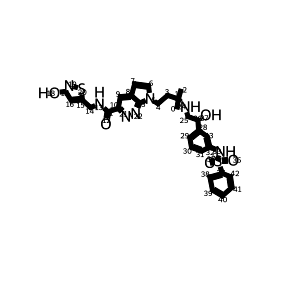 CC(C)(CCn1ccc2cc(C(=O)NCc3cc(O)ns3)nnc21)NC[C@H](O)c1cccc(NS(=O)(=O)c2ccccc2)c1